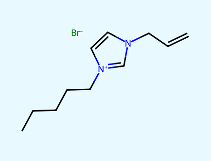 C=CCn1cc[n+](CCCCC)c1.[Br-]